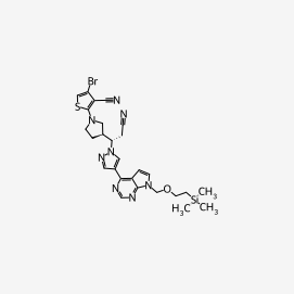 C[Si](C)(C)CCOCn1ccc2c(-c3cnn([C@@H](CC#N)[C@H]4CCN(c5scc(Br)c5C#N)C4)c3)ncnc21